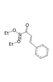 CCO[SiH](OCC)C(=O)C=Cc1ccccc1